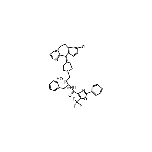 O=C(N[C@@H](Cc1ccccc1)[C@H](O)CN1CCC(=C2c3ccc(Cl)cc3CCc3cccnc32)CC1)c1nc(-c2ccccc2)oc1C(F)(F)F